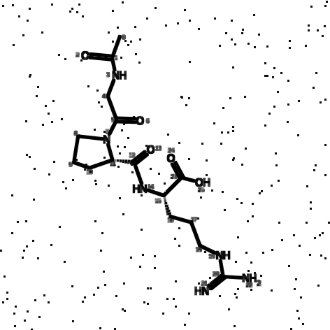 CC(=O)NCC(=O)N1CCC[C@H]1C(=O)N[C@@H](CCCNC(=N)N)C(=O)O